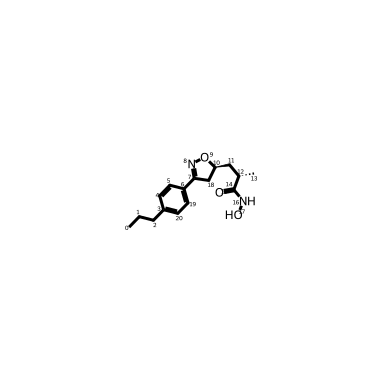 CCCc1ccc(C2=NO[C@@H](C[C@H](C)C(=O)NO)C2)cc1